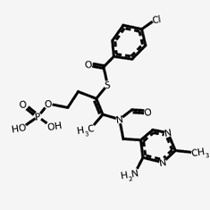 C/C(=C(\CCOP(=O)(O)O)SC(=O)c1ccc(Cl)cc1)N(C=O)Cc1cnc(C)nc1N